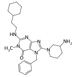 Cn1c(NCCC2CCCCC2)nc2nc(N3CCCC(N)C3)n(Cc3ccccc3)c2c1=O